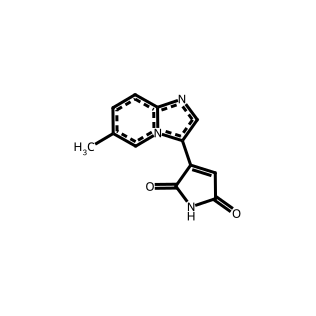 Cc1ccc2ncc(C3=CC(=O)NC3=O)n2c1